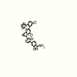 Nc1noc2cc(-c3cnc(C4C5CC5c5nc(-c6cc(Cl)ccc6-n6cnnn6)cc(=O)n54)[nH]3)ccc12